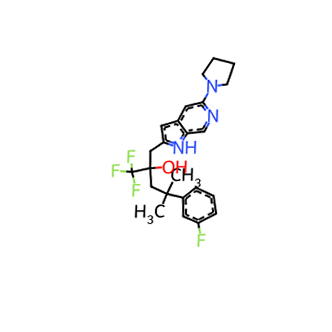 CC(C)(CC(O)(Cc1cc2cc(N3CCCC3)ncc2[nH]1)C(F)(F)F)c1cccc(F)c1